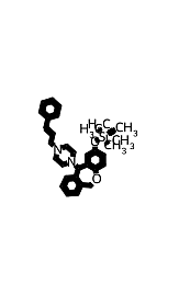 CC(C)(C)[Si](C)(C)Oc1ccc2c(c1)C(N1CCN(CC=Cc3ccccc3)CC1)c1ccccc1CO2